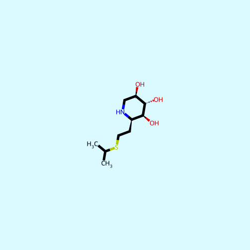 CC(C)SCC[C@H]1NC[C@@H](O)[C@H](O)[C@H]1O